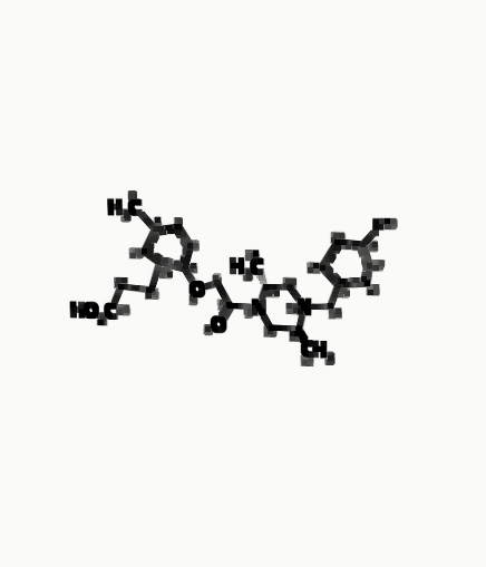 Cc1ccc(OCC(=O)N2C[C@H](C)N(Cc3ccc(F)cc3)C[C@H]2C)c(CCC(=O)O)c1